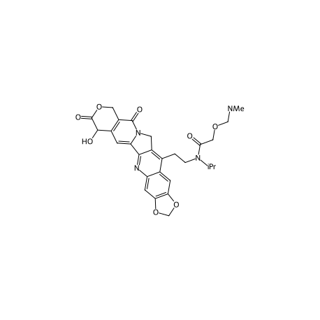 CNCOCC(=O)N(CCc1c2c(nc3cc4c(cc13)OCO4)-c1cc3c(c(=O)n1C2)COC(=O)C3O)C(C)C